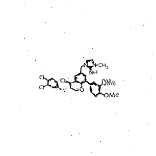 COc1ccc(-c2cc(Cn3ccn(C)c3=N)cc3c2OC[C@H](Cc2ccc(Cl)c(Cl)c2)C3=O)cc1OC